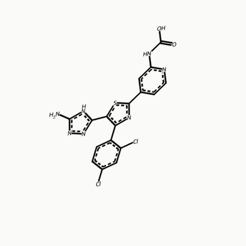 Nc1nnc(-c2sc(-c3ccnc(NC(=O)O)c3)nc2-c2ccc(Cl)cc2Cl)[nH]1